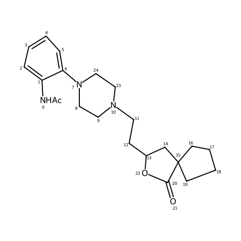 CC(=O)Nc1ccccc1N1CCN(CCC2CC3(CCCC3)C(=O)O2)CC1